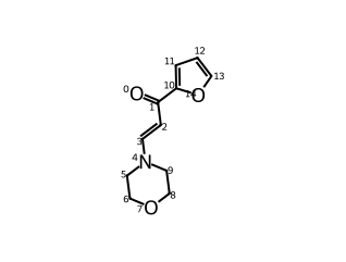 O=C(C=CN1CCOCC1)c1ccco1